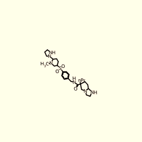 CCCC1(C(=O)NCc2ccc(S(=O)(=O)C3CCC(N4CCCN4)N(C)C3)cc2)CCC2NCCN2C1